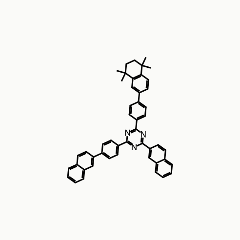 CC1(C)CCC(C)(C)c2cc(-c3ccc(-c4nc(-c5ccc(-c6ccc7ccccc7c6)cc5)nc(-c5ccc6ccccc6c5)n4)cc3)ccc21